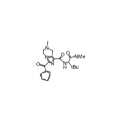 CNC(=O)C(NC(=O)c1nc(C(=O)c2ccccc2)n2c1CN(C)CC2)C(C)(C)C